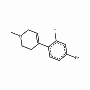 CN1CC=C(c2ccc(Br)cc2F)CC1